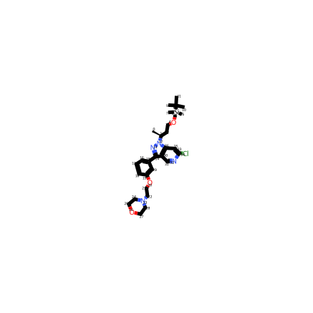 C[C@@H](CCO[Si](C)(C)C(C)(C)C)n1nc(-c2cccc(OCCN3CCOCC3)c2)c2cnc(Cl)cc21